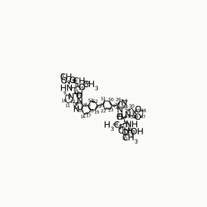 COC(=O)N[C@H](C(=O)N1CCC[C@H]1c1nc2ccc3cc(-c4ccc(-c5cnc([C@@H]6CC7(CN6C(=O)[C@@H](NC(O)OC)C(C)C)OCCO7)[nH]5)cc4)ccc3c2[nH]1)[C@@H](C)OC